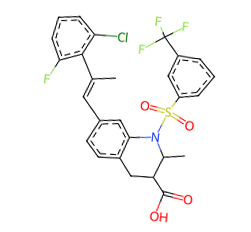 CC(=Cc1ccc2c(c1)N(S(=O)(=O)c1cccc(C(F)(F)F)c1)C(C)C(C(=O)O)C2)c1c(F)cccc1Cl